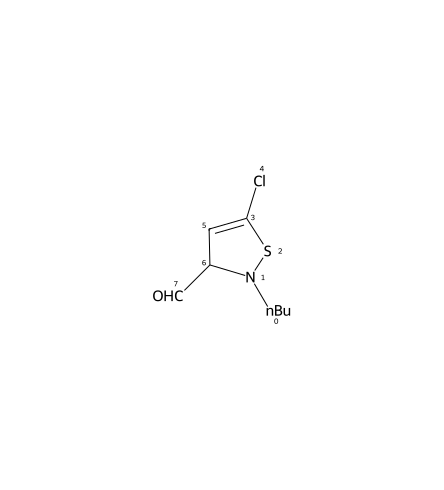 CCCCN1SC(Cl)=CC1C=O